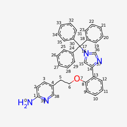 Nc1ccc(CCOc2ccccc2-c2cn(C(c3ccccc3)(c3ccccc3)c3ccccc3)cn2)cn1